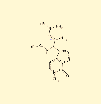 CCCN(N)/C=C(\N)C(NSC(C)(C)C)c1cccc2c(=O)n(C)ccc12